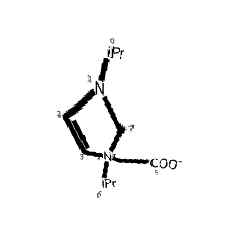 CC(C)N1C=C[N+](C(=O)[O-])(C(C)C)C1